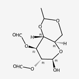 CC1OC[C@H]2O[C@@H](O)[C@H](OC=O)[C@@H](OC=O)[C@@H]2O1